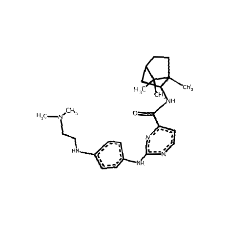 CN(C)CCNc1ccc(Nc2nccc(C(=O)NC3CC4CCC3(C)C4(C)C)n2)cc1